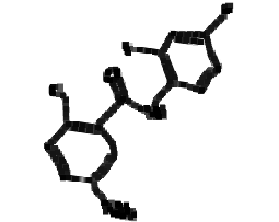 CNc1ccc(Cl)c(C(=O)Nc2ccc(F)cc2F)c1